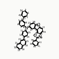 c1ccc(-c2cccc(N(c3ccc(-c4ccc5ccccc5c4)cc3)c3ccc4oc5ccc6nc(-c7ccccc7)oc6c5c4c3)c2)cc1